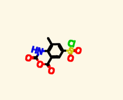 Cc1cc(S(=O)(=O)Cl)cc2c(=O)oc(=O)[nH]c12